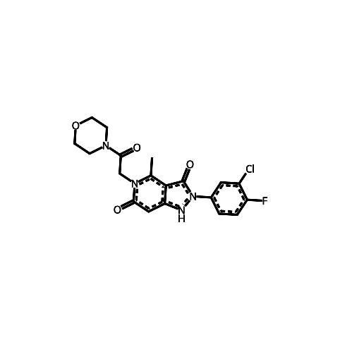 Cc1c2c(=O)n(-c3ccc(F)c(Cl)c3)[nH]c2cc(=O)n1CC(=O)N1CCOCC1